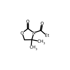 CCC(=O)N1C(=O)OCC1(C)C